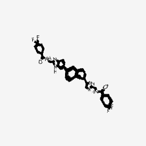 O=C(NCc1ncc(-c2ccc3cc(-c4ccc5nc(CNC(=O)C6CCC(F)(F)CC6)[nH]c5c4)ccc3c2)[nH]1)C1CCC(F)(F)CC1